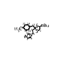 CCCCC1CSC(CCn2ccnc2)(Cc2ccc(C)cc2)S1